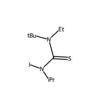 CCN(C(=S)N(I)C(C)C)C(C)(C)C